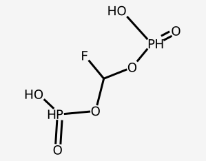 O=[PH](O)OC(F)O[PH](=O)O